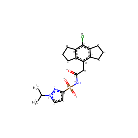 CC(C)n1ccc(S(=O)(=O)NC(=O)Cc2c3c(c(Cl)c4c2CCC4)CCC3)n1